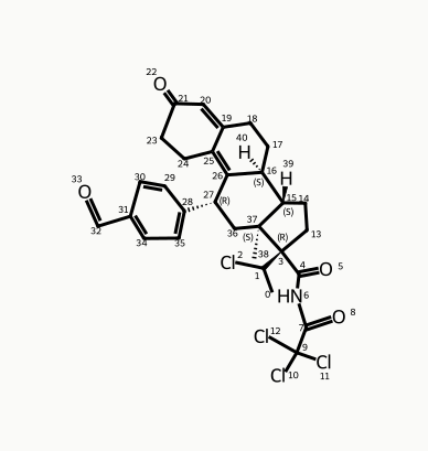 CC(Cl)[C@]1(C(=O)NC(=O)C(Cl)(Cl)Cl)CC[C@H]2[C@@H]3CCC4=CC(=O)CCC4=C3[C@@H](c3ccc(C=O)cc3)C[C@@]21C